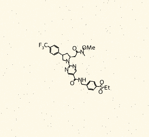 CCS(=O)(=O)c1ccc(CNC(=O)c2cnc(N3CC(c4ccc(C(F)(F)F)cc4)C[C@H]3CC(=O)N(C)OC)nc2)cc1